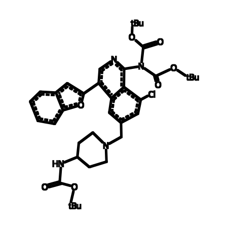 CC(C)(C)OC(=O)NC1CCN(Cc2cc(Cl)c3c(N(C(=O)OC(C)(C)C)C(=O)OC(C)(C)C)ncc(-c4cc5ccccc5o4)c3c2)CC1